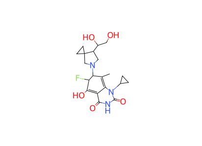 CC1=c2c(c(=O)[nH]c(=O)n2C2CC2)=C(O)C(F)C1N1CC(C(O)CO)C2(CC2)C1